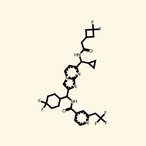 O=C(CC1CC(F)(F)C1)NC(c1ccn2cc(C(NC(=O)c3ccnc(CC(F)(F)F)c3)C3CCC(F)(F)CC3)nc2n1)C1CC1